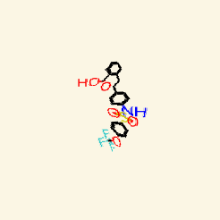 O=C(O)c1ccccc1CCc1ccc(NS(=O)(=O)c2ccc(OC(F)(F)F)cc2)cc1